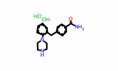 Cl.Cl.NC(=O)c1ccc(Cc2ccccc2N2CCNCC2)cc1